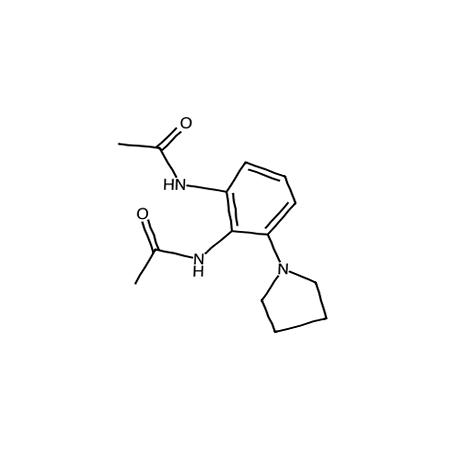 CC(=O)Nc1cccc(N2CCCC2)c1NC(C)=O